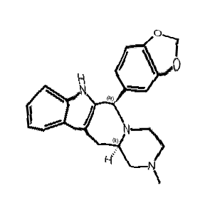 CN1CCN2[C@H](Cc3c([nH]c4ccccc34)[C@H]2c2ccc3c(c2)OCO3)C1